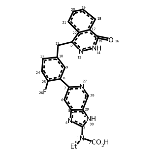 CCN(C(=O)O)c1nc2cc(-c3cc(Cc4n[nH]c(=O)c5ccccc45)ccc3F)ncc2[nH]1